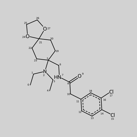 CCN(CC)C1(CNC(=O)Cc2ccc(Cl)c(Cl)c2)CCC2(CC1)OCCO2